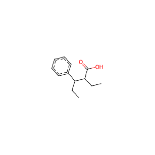 CCC(C(=O)O)C(CC)c1ccccc1